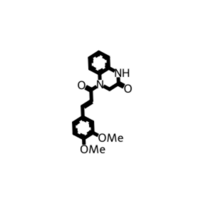 COc1ccc(/C=C/C(=O)N2CC(=O)Nc3ccccc32)cc1OC